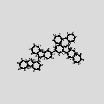 c1ccc(-c2ccccc2-n2c3ccc(-c4ccc5c(c4)c4ccccc4n5-c4cccc5c4oc4ccccc45)cc3c3cc4ccccc4cc32)cc1